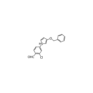 O=Cc1ccc([SH]2C=CC(OCc3ccccc3)=C2)cc1Cl